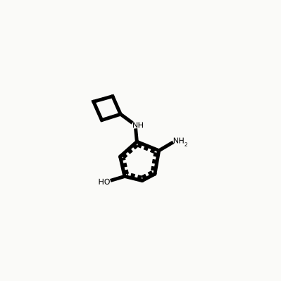 Nc1ccc(O)cc1NC1CCC1